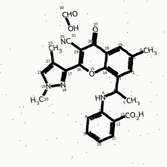 Cc1cc(C(C)Nc2ccccc2C(=O)O)c2oc(-c3nn(C)cc3C)c(C#N)c(=O)c2c1.O=CO